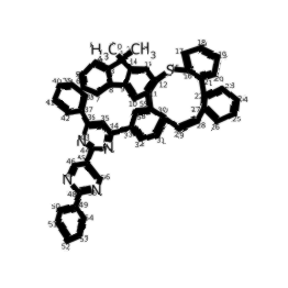 CC1(C)c2ccccc2-c2cc3c(cc21)Sc1ccccc1-c1ccccc1/C=C\c1ccc(-c2cc(-c4ccccc4)nc(-c4cnc(-c5ccccc5)nc4)n2)cc1-3